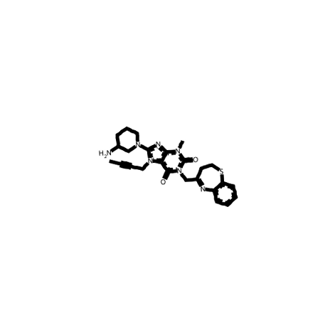 CC#CCn1c(N2CCCC(N)C2)nc2c1c(=O)n(CC1=Nc3ccccc3SCC1)c(=O)n2C